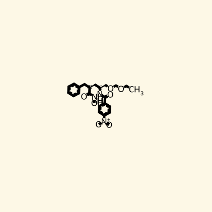 CCOCOC[C@H](C[C@H](Cc1ccccc1)C(=O)NO)NC(=O)c1ccc([N+](=O)[O-])cc1